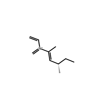 C=C[N+](=C)/C(C)=C/[C@@H](C)CC